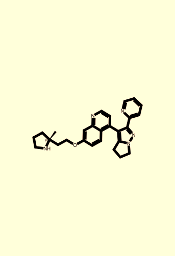 C[C@]1(CCOc2ccc3c(-c4c(-c5ccccn5)nn5c4CCC5)ccnc3c2)CCCN1